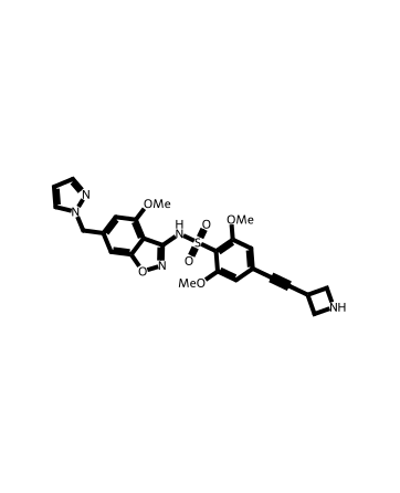 COc1cc(C#CC2CNC2)cc(OC)c1S(=O)(=O)Nc1noc2cc(Cn3cccn3)cc(OC)c12